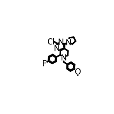 COc1ccc(CN2CCc3c(nc(Cl)nc3N3CCCC3)C2c2ccc(F)cc2)cc1